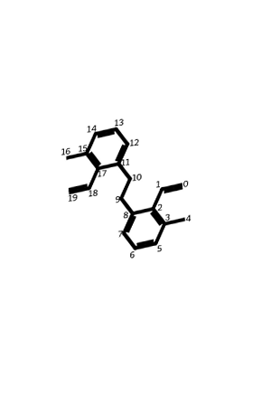 C=Cc1c(C)cccc1CCc1cccc(C)c1C=C